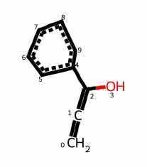 C=C=C(O)c1ccccc1